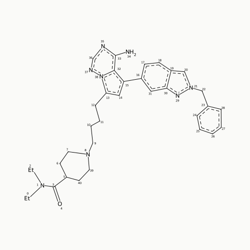 CCN(CC)C(=O)C1CCN(CCCCc2cc(-c3ccc4cn(Cc5ccccc5)nc4c3)c3c(N)ncnn23)CC1